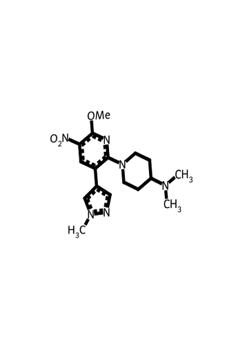 COc1nc(N2CCC(N(C)C)CC2)c(-c2cnn(C)c2)cc1[N+](=O)[O-]